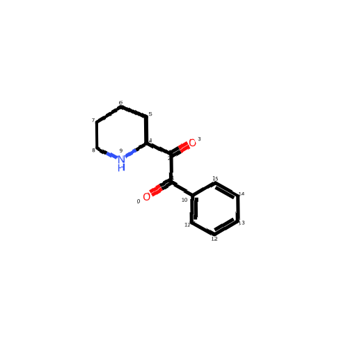 O=C(C(=O)C1CCCCN1)c1ccccc1